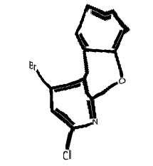 Clc1cc(Br)c2c(n1)oc1ccccc12